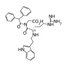 N=C(N)NCCC[C@H](NCCc1c[nH]c2ccccc12)C(=O)N(CC(=O)O)C(=O)C(c1ccccc1)c1ccccc1